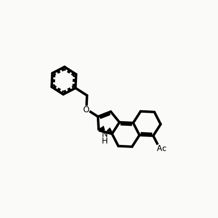 CC(=O)C1=C2CCC34CNC=C3C(OCc3ccccc3)=CC4=C2CCC1